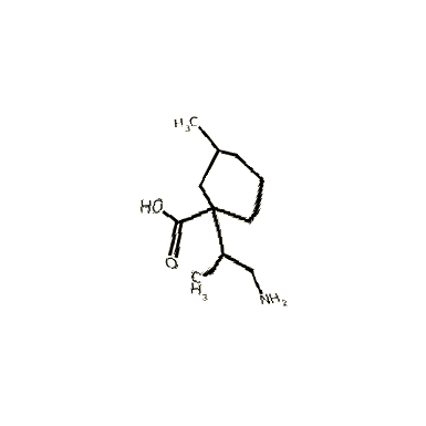 CC1CCCC(C(=O)O)(C(C)CN)C1